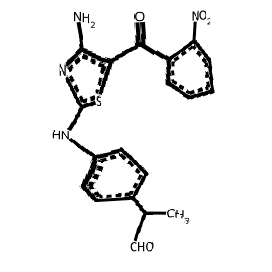 CC(C=O)c1ccc(Nc2nc(N)c(C(=O)c3ccccc3[N+](=O)[O-])s2)cc1